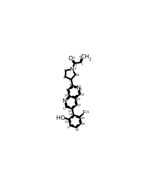 C=CC(=O)N1CCC(c2cc3ncc(-c4c(O)cccc4F)cc3cn2)C1